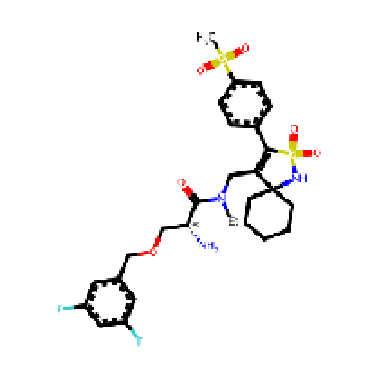 CCN(CC1=C(c2ccc(S(C)(=O)=O)cc2)S(=O)(=O)NC12CCCCC2)C(=O)[C@H](N)COCc1cc(F)cc(F)c1